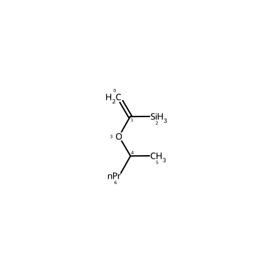 C=C([SiH3])OC(C)CCC